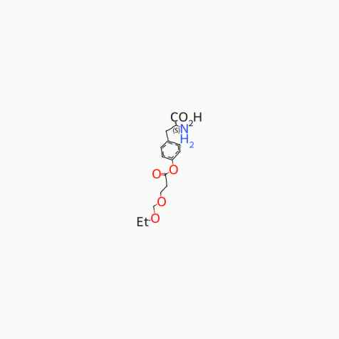 CCOCOCCC(=O)Oc1ccc(C[C@H](N)C(=O)O)cc1